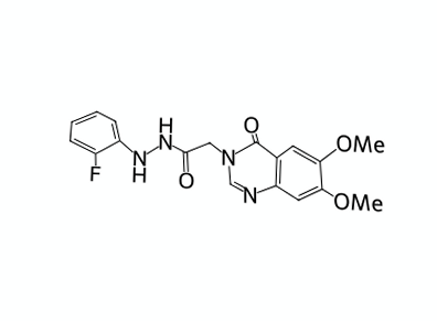 COc1cc2ncn(CC(=O)NNc3ccccc3F)c(=O)c2cc1OC